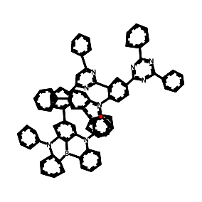 c1ccc(-c2ccc3c(c2)c2ccccc2n3-c2ccc(-c3nc(-c4ccccc4)nc(-c4ccccc4)n3)cc2-c2nc(-c3ccccc3)cc(-c3cccc(-c4cc5c6c(c4)N(c4ccccc4)c4ccccc4B6c4ccccc4N5c4ccccc4)c3)n2)cc1